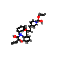 CNC(=O)C(=O)N(c1ccccc1)c1ccccc1C(=O)CCC1CCN(C(=O)OC(C)(C)C)CC1